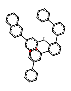 Clc1cc(Nc2c(-c3cccc(-c4ccccc4)c3)cccc2-c2cccc(-c3ccccc3)c2)cc(-c2ccc3ccccc3c2)c1